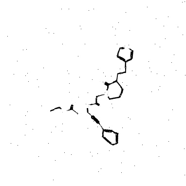 CCOC(=O)C[C@@H](C#Cc1ccccc1)NC(=O)CN1CCCC(CCc2ccncc2)C1=O